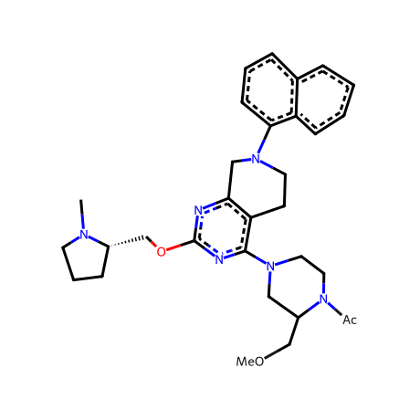 COCC1CN(c2nc(OC[C@@H]3CCCN3C)nc3c2CCN(c2cccc4ccccc24)C3)CCN1C(C)=O